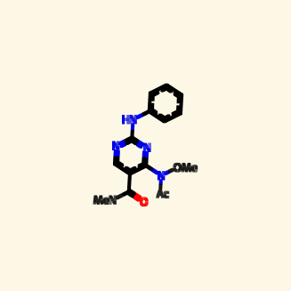 CNC(=O)c1cnc(Nc2ccccc2)nc1N(OC)C(C)=O